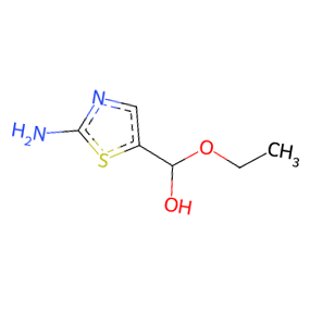 CCOC(O)c1cnc(N)s1